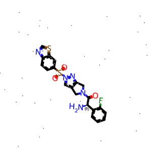 N[C@@H](C(=O)N1Cc2cn(S(=O)(=O)c3ccc4ncsc4c3)nc2C1)c1ccccc1F